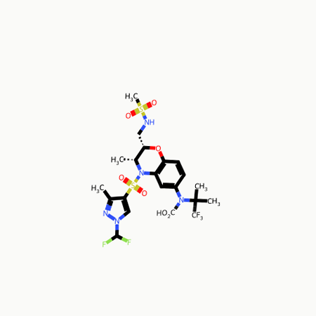 Cc1nn(C(F)F)cc1S(=O)(=O)N1c2cc(N(C(=O)O)C(C)(C)C(F)(F)F)ccc2O[C@@H](CNS(C)(=O)=O)[C@H]1C